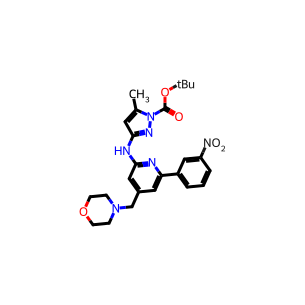 Cc1cc(Nc2cc(CN3CCOCC3)cc(-c3cccc([N+](=O)[O-])c3)n2)nn1C(=O)OC(C)(C)C